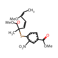 C/C=C(\C=C/C(C)(Sc1ccc(C(=O)OC)cc1[N+](=O)[O-])C(=O)OC)OC